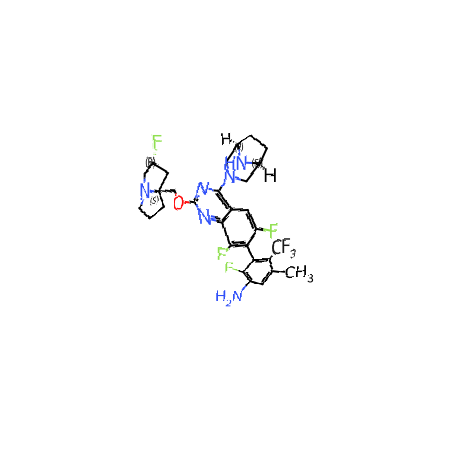 Cc1cc(N)c(F)c(-c2c(F)cc3c(N4C[C@H]5CC[C@@H](C4)N5)nc(OC[C@@]45CCCN4C[C@H](F)C5)nc3c2F)c1C(F)(F)F